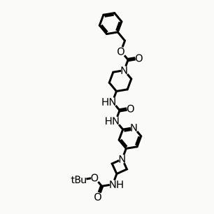 CC(C)(C)OC(=O)NC1CN(c2ccnc(NC(=O)NC3CCN(C(=O)OCc4ccccc4)CC3)c2)C1